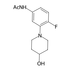 CC(=O)Nc1ccc(F)c(N2CCC(O)CC2)c1